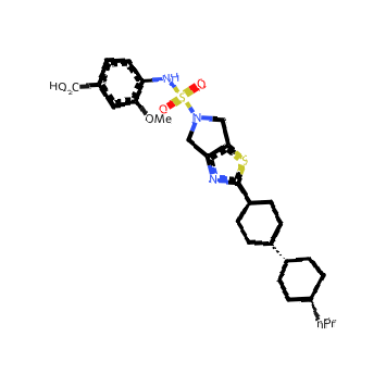 CCC[C@H]1CC[C@H](C2CCC(c3nc4c(s3)CN(S(=O)(=O)Nc3ccc(C(=O)O)cc3OC)C4)CC2)CC1